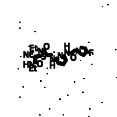 CCNC(=O)C(C#N)=c1sc(=CNc2cccc(NC(=O)CN3CCC(F)CC3)n2)c(=O)n1CC